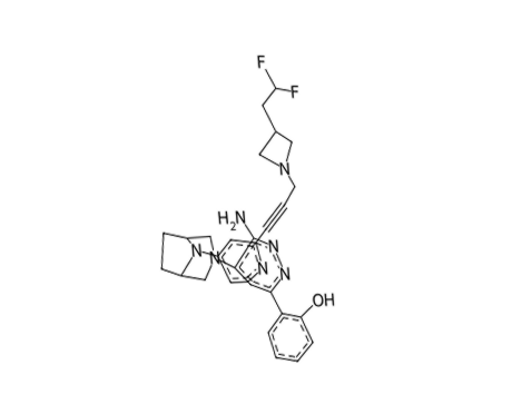 Nc1nnc(-c2ccccc2O)cc1N1CC2CCC(C1)N2c1ccnc(C#CCN2CC(CC(F)F)C2)c1